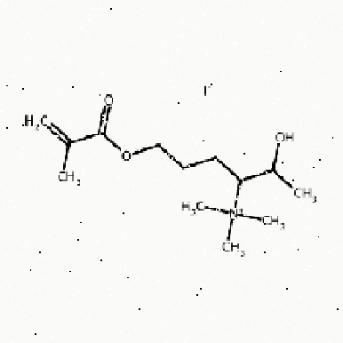 C=C(C)C(=O)OCCCC(C(C)O)[N+](C)(C)C.[I-]